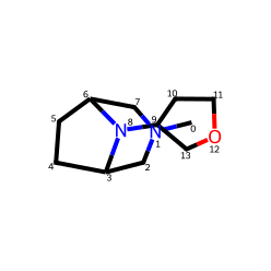 CN1CC2CCC(C1)N2C1CCOC1